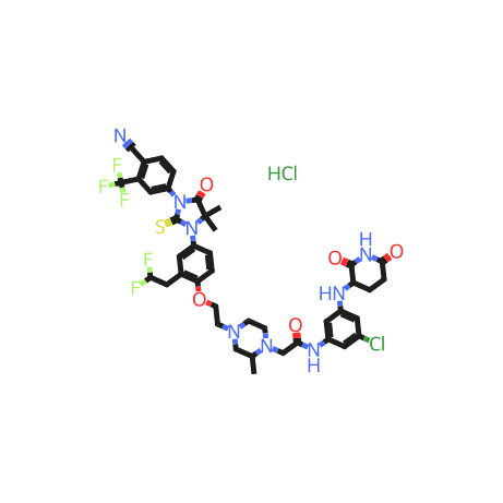 CC1CN(CCOc2ccc(N3C(=S)N(c4ccc(C#N)c(C(F)(F)F)c4)C(=O)C3(C)C)cc2CC(F)F)CCN1CC(=O)Nc1cc(Cl)cc(NC2CCC(=O)NC2=O)c1.Cl